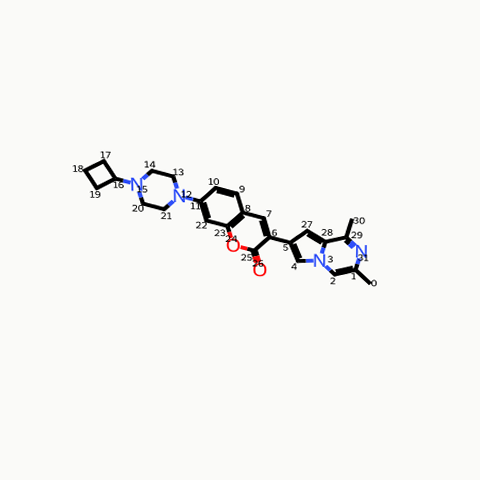 Cc1cn2cc(-c3cc4ccc(N5CCN(C6CCC6)CC5)cc4oc3=O)cc2c(C)n1